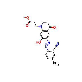 Bc1ccc(/N=N/c2cc3c(cc2O)N(CCC(=O)OC)CCC3=O)c(C#N)c1